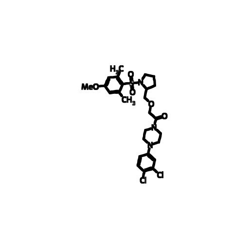 COc1cc(C)c(S(=O)(=O)N2CCCC2COCC(=O)N2CCN(c3ccc(Cl)c(Cl)c3)CC2)c(C)c1